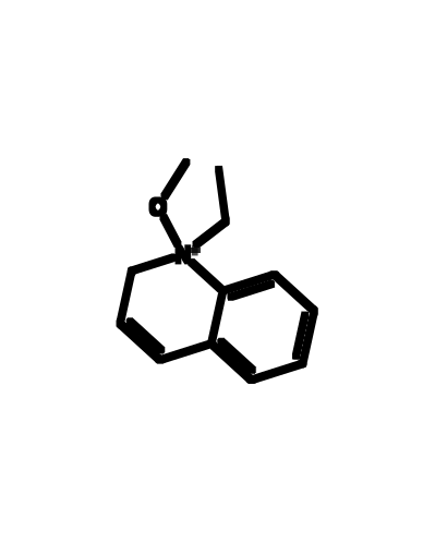 CC[N+]1(OC)CC=Cc2ccccc21